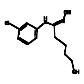 OCCCC/C(=N/O)Nc1cccc(Cl)c1